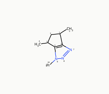 CC1CC(C)c2c1nnn2C(C)C